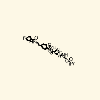 CC(C)C(=O)OCCNC(=O)Oc1ccc(C(=O)NS(=O)(=O)c2ccc(CCNC(=O)c3ccc(F)cc3)cc2)cn1